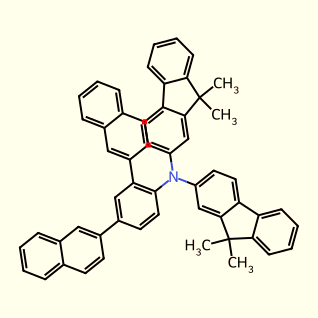 CC1(C)c2ccccc2-c2ccc(N(c3ccc4c(c3)C(C)(C)c3ccccc3-4)c3ccc(-c4ccc5ccccc5c4)cc3-c3ccc4ccccc4c3)cc21